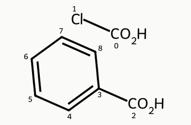 O=C(O)Cl.O=C(O)c1ccccc1